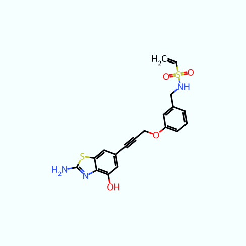 C=CS(=O)(=O)NCc1cccc(OCC#Cc2cc(O)c3nc(N)sc3c2)c1